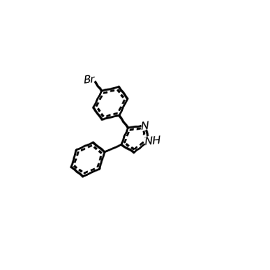 Brc1ccc(-c2n[nH]cc2-c2ccccc2)cc1